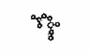 C1=C(c2cccc(-c3cccc(-c4cc(-c5ccccc5)nc(-c5ccccc5)n4)c3)c2)/N=C(c2ccccc2)\N=C(\c2ccc3c(c2)sc2ccccc23)CC\1